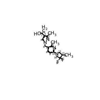 C=C(O)c1cn(Cc2ccc(N3CC(C)C(F)(F)C3)nc2C)nc1C